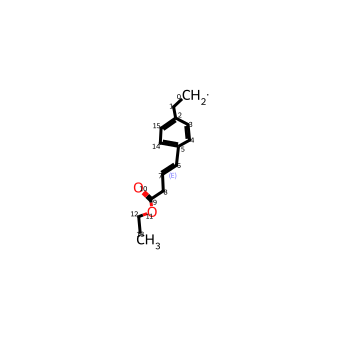 [CH2]Cc1ccc(/C=C/CC(=O)OCC)cc1